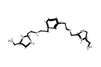 OCC1CSC(CSCCc2cccc(CCSCC3SCC(CO)S3)c2)S1